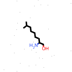 CC(C)CCCCCC(N)CO